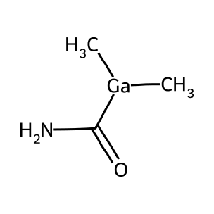 [CH3][Ga]([CH3])[C](N)=O